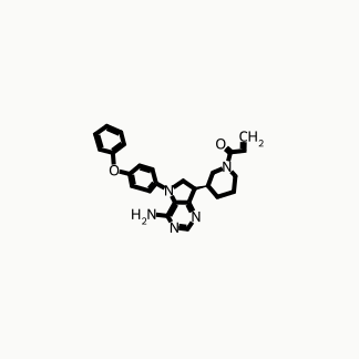 C=CC(=O)N1CCC[C@@H](C2CN(c3ccc(Oc4ccccc4)cc3)c3c(N)ncnc32)C1